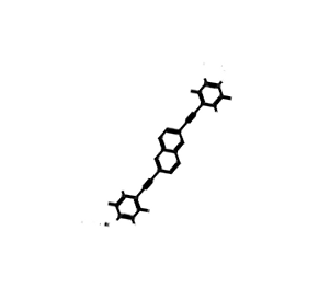 CCCCCCOc1c(F)c(F)c(C#Cc2ccc3cc(C#Cc4c(F)c(F)c(OCCCCCC)c(F)c4F)ccc3c2)c(F)c1F